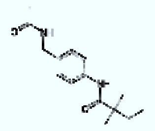 CCC(C)(C)C(=O)Nc1ccc(CNC(C)=O)cc1